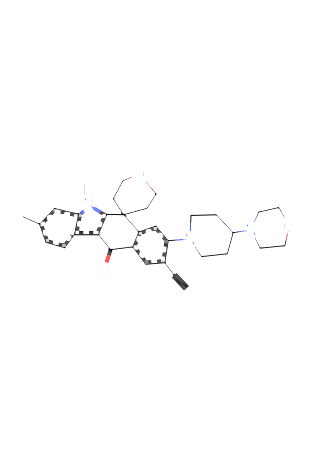 C#Cc1cc2c(cc1N1CCC(N3CCOCC3)CC1)C1(CCOCC1)c1[nH]c3cc(C)ccc3c1C2=O